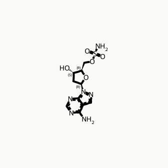 Nc1ncnc2c1cnn2[C@H]1C[C@H](O)[C@@H](COS(N)(=O)=O)O1